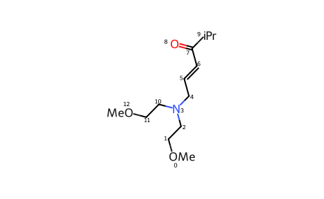 COCCN(C/C=C/C(=O)C(C)C)CCOC